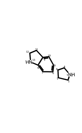 C1CCNC1.c1ccc2c(c1)CCN2